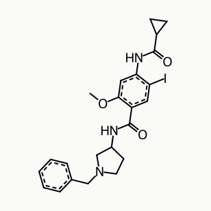 COc1cc(NC(=O)C2CC2)c(I)cc1C(=O)NC1CCN(Cc2ccccc2)C1